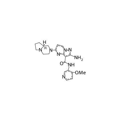 COc1ccncc1NC(=O)c1c(N)nn2ccc(N3CCN4CCC[C@@H]4C3)nc12